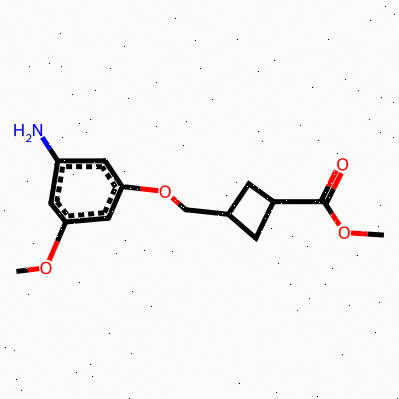 COC(=O)C1CC(COc2cc(N)cc(OC)c2)C1